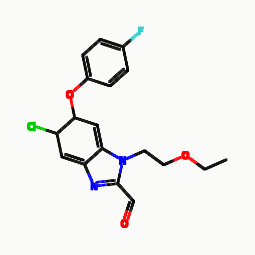 CCOCCn1c(C=O)nc2c1=CC(Oc1ccc(F)cc1)C(Cl)C=2